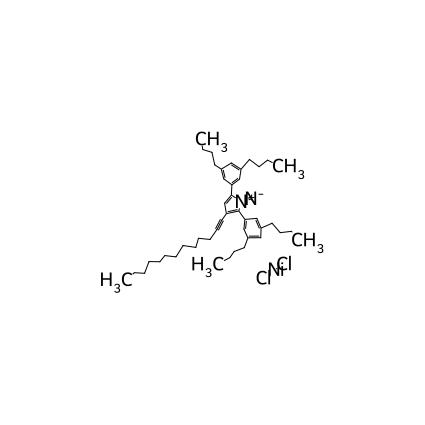 CCCCCCCCCCCC#CC1=C(c2cc(CCCC)cc(CCCC)c2)[N+](=[N-])C(c2cc(CCCC)cc(CCCC)c2)=C1.[Cl][Ni][Cl]